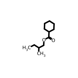 CCC(C)COC(=O)C1CCCCC1